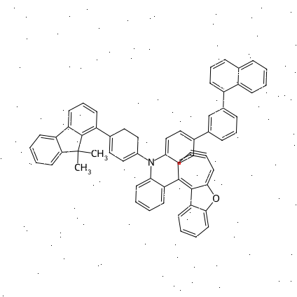 CC1(C)c2ccccc2-c2cccc(C3=CC=C(N(c4ccc(-c5cccc(-c6cccc7ccccc67)c5)cc4)c4ccccc4C4=c5c(oc6ccccc56)=CC#CC4)CC3)c21